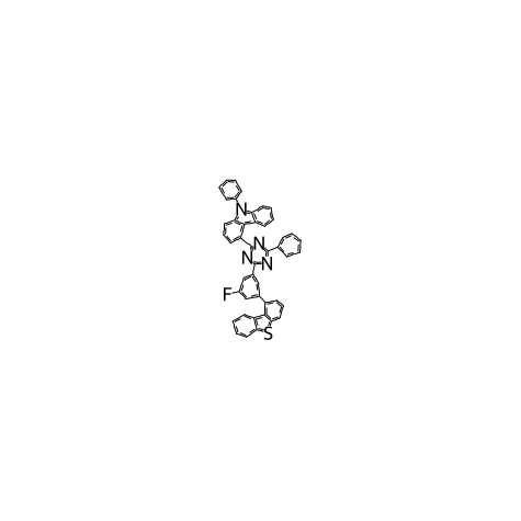 Fc1cc(-c2nc(-c3ccccc3)nc(-c3cccc4c3c3ccccc3n4-c3ccccc3)n2)cc(-c2cccc3sc4ccccc4c23)c1